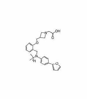 [2H]C(C)(C)N(Cc1ccccc1OCC1CN(CC(=O)O)C1)c1ccc(-c2ccco2)cc1